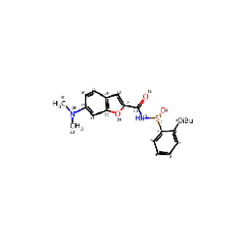 CC(C)COc1ccccc1[S+]([O-])NC(=O)c1cc2ccc(N(C)C)cc2o1